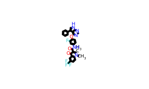 Cc1c(C(=O)Nc2ccc(Oc3ncnc4[nH]cc(-c5ccccc5)c34)c(F)c2)c(=O)c2cc(C(F)(F)F)ccc2n1C